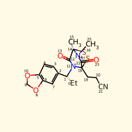 CC[C@H](c1ccc2c(c1)OCO2)N1C(=O)[C@@]2(C)SSC1(CCC#N)C(=O)N2C